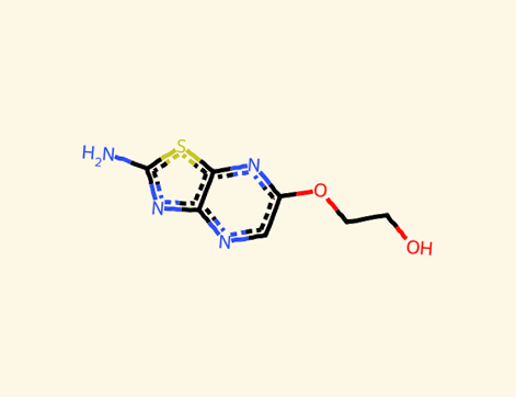 Nc1nc2ncc(OCCO)nc2s1